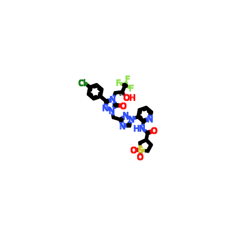 O=C(Nc1ncccc1-n1cnc(Cn2nc(-c3ccc(Cl)cc3)n(C[C@H](O)C(F)(F)F)c2=O)n1)C1CCS(=O)(=O)C1